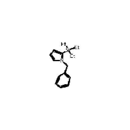 CC[Si](CC)(CC)c1cccn1Cc1ccccc1